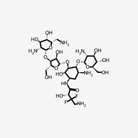 NC[C@@H]1O[C@H](O[C@H]2[C@@H](O)[C@H](O[C@@H]3[C@@H](O)[C@H](NC(=O)[C@@H](O)C(F)(F)CN)C[C@H](N)[C@H]3O[C@H]3O[C@H](CO)[C@@H](O)[C@H](O)[C@H]3N)O[C@@H]2CO)[C@H](N)[C@@H](O)[C@@H]1O